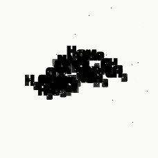 COc1cc(N(C)CCN(C)C)c([N+](=O)[O-])cc1Nc1nccc(-c2c(C(=O)N(C)C)n(C)c3ccccc23)n1